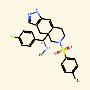 CC(C)N[C@@H](c1ccc(F)cc1)C12Cc3cn[nH]c3C=C1CCN(S(=O)(=O)c1ccc(C(C)(C)C)cc1)C2